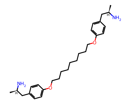 C[C@@H](N)Cc1ccc(OCCCCCCCCCOc2ccc(C[C@@H](C)N)cc2)cc1